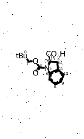 CC(C)(C)COC(=O)N1c2ccccc2C[C@@H]1C(=O)O